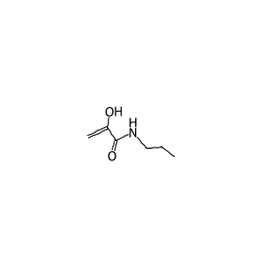 C=C(O)C(=O)NCCC